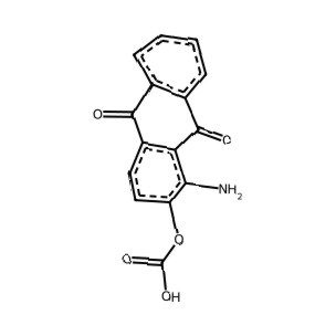 Nc1c(OC(=O)O)ccc2c1C(=O)c1ccccc1C2=O